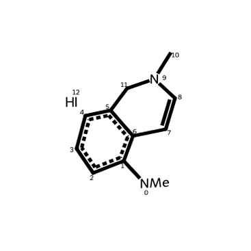 CNc1cccc2c1C=CN(C)C2.I